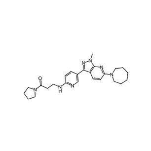 Cn1nc(-c2ccc(NCCC(=O)N3CCCC3)nc2)c2ccc(N3CCCCCC3)nc21